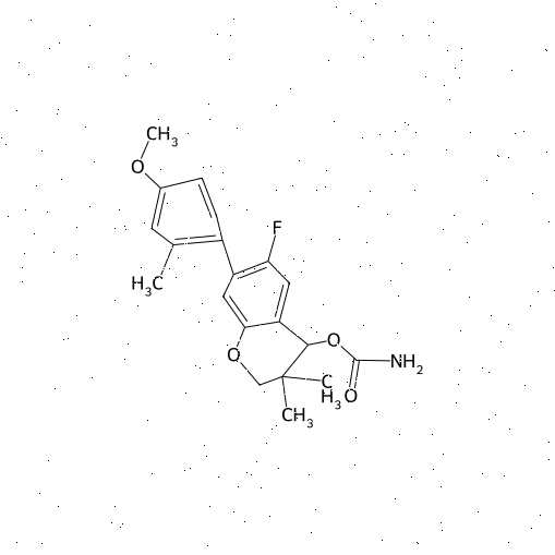 COc1ccc(-c2cc3c(cc2F)C(OC(N)=O)C(C)(C)CO3)c(C)c1